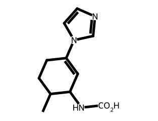 CC1CCC(n2ccnc2)=CC1NC(=O)O